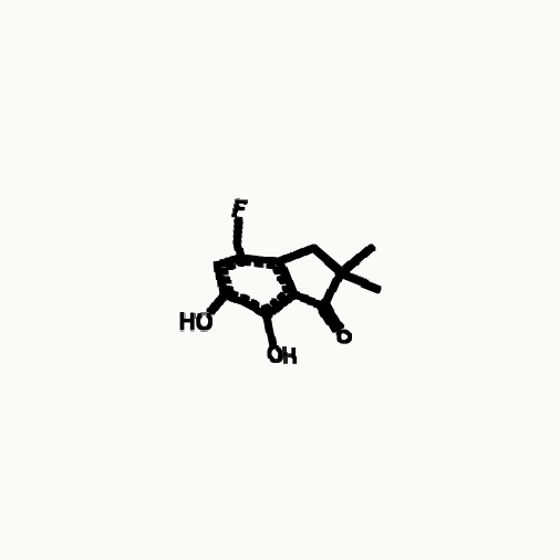 CC1(C)Cc2c(F)cc(O)c(O)c2C1=O